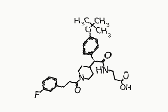 CC(C)(C)Oc1ccc([C@@H](C(=O)NCCC(=O)O)C2CCN(C(=O)CCc3cccc(F)c3)CC2)cc1